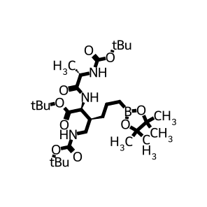 C[C@H](NC(=O)OC(C)(C)C)C(=O)N[C@H](C(=O)OC(C)(C)C)[C@@H](CCCB1OC(C)(C)C(C)(C)O1)CNC(=O)OC(C)(C)C